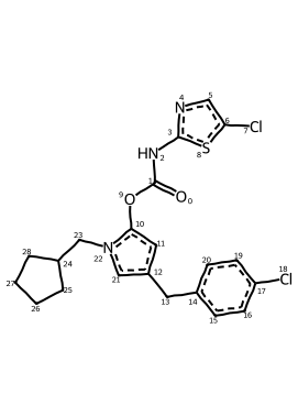 O=C(Nc1ncc(Cl)s1)Oc1cc(Cc2ccc(Cl)cc2)cn1CC1CCCC1